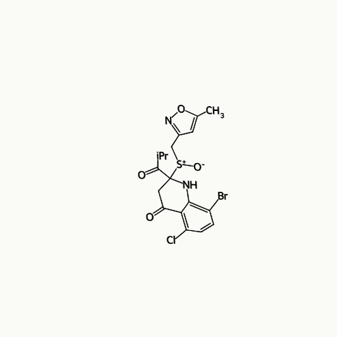 Cc1cc(C[S+]([O-])C2(C(=O)C(C)C)CC(=O)c3c(Cl)ccc(Br)c3N2)no1